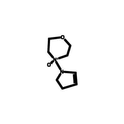 [O-][N+]1(N2C=CCC2)CCOCC1